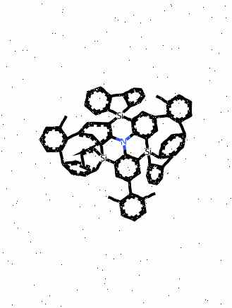 Cc1cccc(C)c1-c1cc2c3c(c1)[Si]14c5ccccc5-c5cc(ccc51)-c1cccc(C)c1-c1cc4c4c(c1)[Si]1(c5ccccc5-c5ccccc51)c1cc5cc(c1N34)[Si]21c2ccccc2-c2cc(ccc21)-c1cccc(C)c1-5